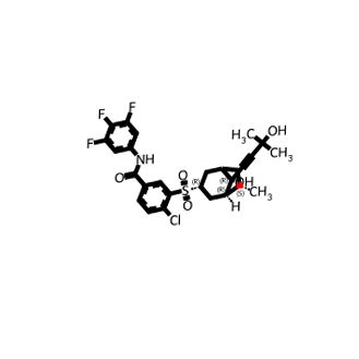 C[C@H]1CC2C[C@@H](S(=O)(=O)c3cc(C(=O)Nc4cc(F)c(F)c(F)c4)ccc3Cl)C[C@H]1[C@@]2(O)C#CC(C)(C)O